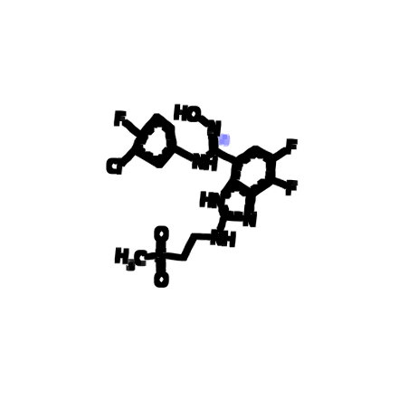 CS(=O)(=O)CCNc1nc2c(F)c(F)cc(/C(=N/O)Nc3ccc(F)c(Cl)c3)c2[nH]1